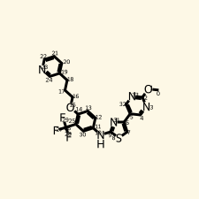 COc1ncc(-c2csc(Nc3ccc(OCCCc4cccnc4)c(C(F)(F)F)c3)n2)cn1